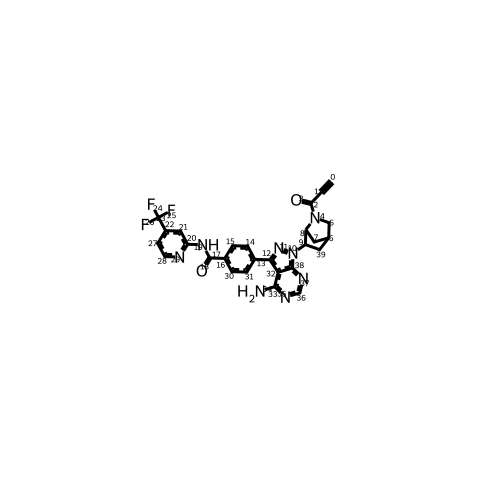 C#CC(=O)N1CC2CC1C(n1nc(-c3ccc(C(=O)Nc4cc(C(F)(F)F)ccn4)cc3)c3c(N)ncnc31)C2